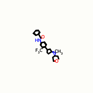 CN(C1CCOCC1)C1CCC(c2ccc(NC(=O)c3ccccc3)cc2C(F)(F)F)C1